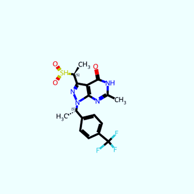 Cc1nc2c(c([C@H](C)[SH](=O)=O)nn2[C@@H](C)c2ccc(C(F)(F)F)cc2)c(=O)[nH]1